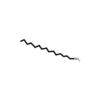 CCCCCCCCCCCCCCC[SiH2]